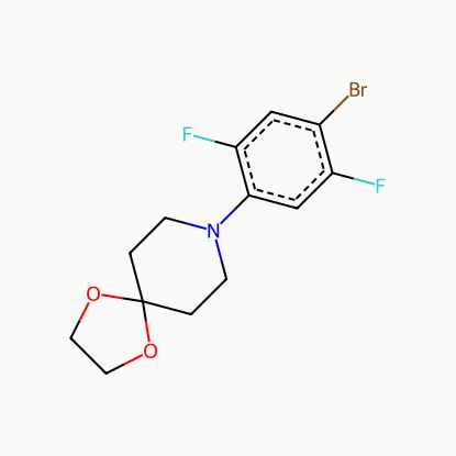 Fc1cc(N2CCC3(CC2)OCCO3)c(F)cc1Br